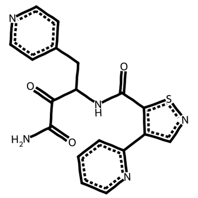 NC(=O)C(=O)C(Cc1ccncc1)NC(=O)c1sncc1-c1ccccn1